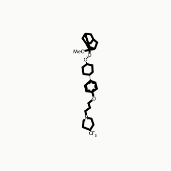 COC1(OO[C@H]2CC[C@@H](c3ccc(OCCCN4CCC(C(F)(F)F)CC4)cc3)CC2)C2CC3CC(C2)CC1C3